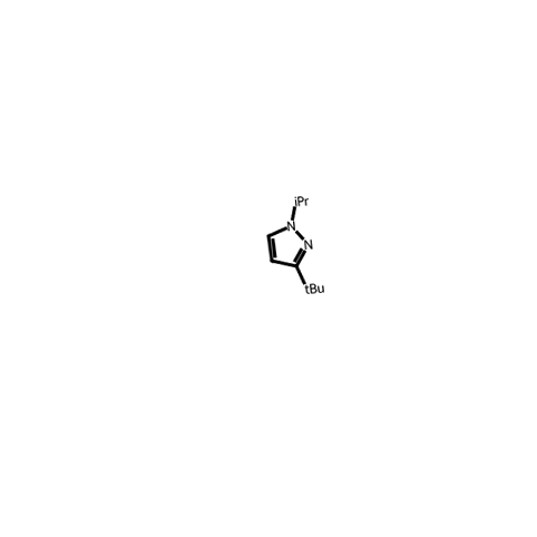 CC(C)n1ccc(C(C)(C)C)n1